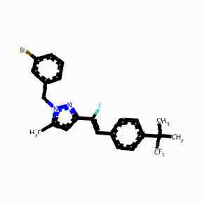 Cc1cc(C(F)=Cc2ccc(C(C)(C)C(F)(F)F)cc2)nn1Cc1cccc(Br)c1